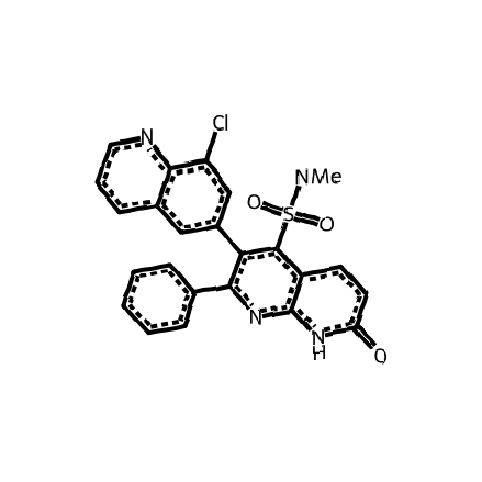 CNS(=O)(=O)c1c(-c2cc(Cl)c3ncccc3c2)c(-c2ccccc2)nc2[nH]c(=O)ccc12